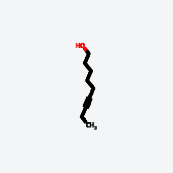 CCC#CCCCCCO